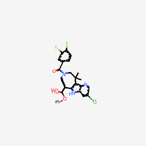 CC(C)OC(O)C1=CN(C(=O)c2ccc(F)c(F)c2)CC(C)(C)c2c1[nH]c1cc(Cl)cnc21